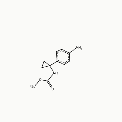 CC(C)(C)OC(=O)NC1(c2ccc(N)cc2)CC1